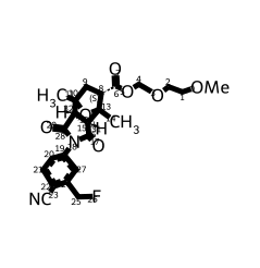 COCCOCOC(=O)[C@H]1CC2(C)OC1(C)[C@H]1C(=O)N(c3ccc(C#N)c(CF)c3)C(=O)[C@H]12